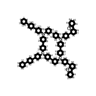 c1ccc(-c2ccc(-c3ccc(N(c4ccccc4)c4ccc(-c5ccc(N(c6ccc(-c7ccc(-c8ccccc8)cc7)cc6)c6ccc(-c7cccc(N(c8ccc(-c9ccc(N(c%10ccccc%10)c%10ccc(-c%11cccc%12c%11oc%11ccccc%11%12)cc%10)cc9)cc8)c8ccc(-c9cccc%10c9oc9ccccc9%10)cc8)c7)cc6)cc5)cc4)cc3)cc2)cc1